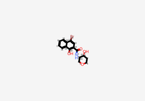 O=C(N[C@H]1COCC[C@@H]1O)c1cc(Br)c2ccccc2c1O